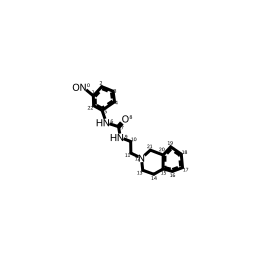 O=Nc1cccc(NC(=O)NCCN2CCc3ccccc3C2)c1